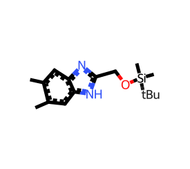 Cc1cc2nc(CO[Si](C)(C)C(C)(C)C)[nH]c2cc1C